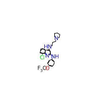 FC(F)(F)OC1=CCC=C(Nc2cc(NCCCN3CCCCC3)c3cccc(Cl)c3n2)C=C1